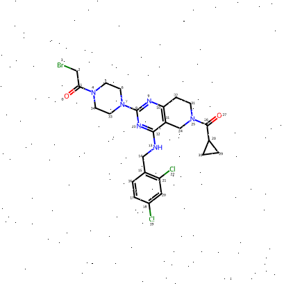 O=C(CBr)N1CCN(c2nc3c(c(NCc4ccc(Cl)cc4Cl)n2)CN(C(=O)C2CC2)CC3)CC1